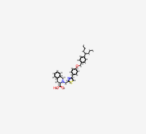 CCCC(CCC)c1ccc(COc2ccc(-c3csc(CN4Cc5ccccc5CC4C(=O)O)n3)cc2)cc1